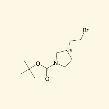 CC(C)(C)OC(=O)N1CC[C@@H](CCBr)C1